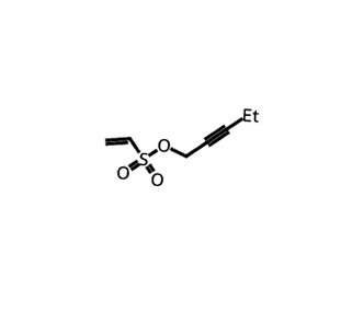 C=CS(=O)(=O)OCC#CCC